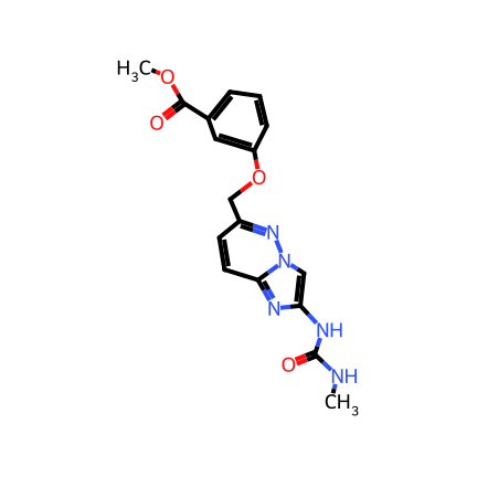 CNC(=O)Nc1cn2nc(COc3cccc(C(=O)OC)c3)ccc2n1